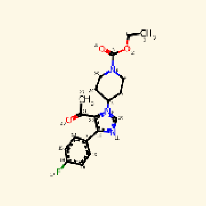 CCOC(=O)N1CCC(n2cnc(-c3ccc(F)cc3)c2C(C)=O)CC1